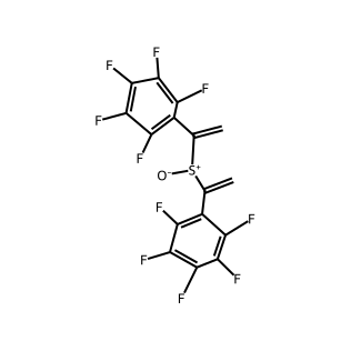 C=C(c1c(F)c(F)c(F)c(F)c1F)[S+]([O-])C(=C)c1c(F)c(F)c(F)c(F)c1F